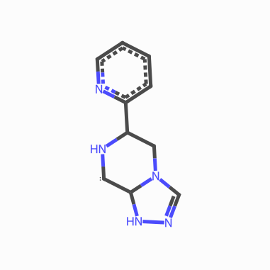 [C]1NC(c2ccccn2)CN2C=NNC12